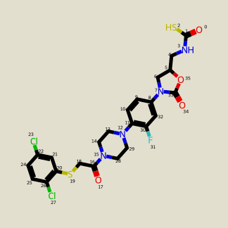 O=C(S)NCC1CN(c2ccc(N3CCN(C(=O)CSc4cc(Cl)ccc4Cl)CC3)c(F)c2)C(=O)O1